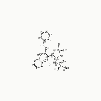 C[C@H](c1ccccc1)N(C(=O)OCc1ccccc1)[C@H]1CC(F)(F)C[C@@H]1NS(=O)(=O)C(C)(C)C